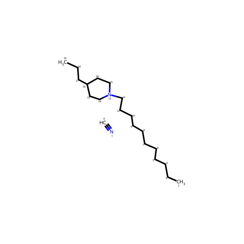 C#N.CCCCCCCCCCCN1CCC(CCC)CC1